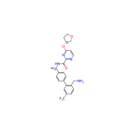 C[C@@H](NC(=O)c1nccc(O[C@@H]2CCOC2)n1)c1ccc(-c2cc(C(F)(F)F)ccc2CN)cc1